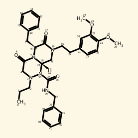 CCCN1CC(=O)N2[C@@H](Cc3ccccc3)C(=O)N(CCc3ccc(OC)c(OC)c3)C[C@@H]2N1C(=O)NCc1ccccc1